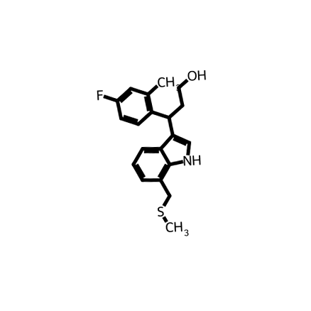 CSCc1cccc2c(C(CCO)c3ccc(F)cc3C)c[nH]c12